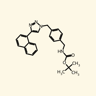 CC(C)(C)OC(=O)NCc1ccc(Cn2cc(-c3cccc4ccccc34)nn2)cc1